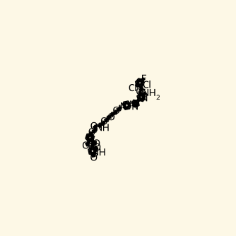 C[C@@H](Oc1cc(-c2cnn(C3CCN(CCOCCOCCOCCNC(=O)COc4ccc5c(c4)C(=O)N(C4CCC(=O)NC4=O)C5=O)CC3)c2)cnc1N)c1c(Cl)ccc(F)c1Cl